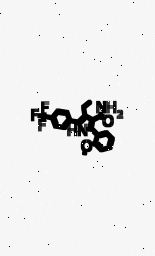 CCc1c(-c2ccc(C(F)(F)F)cc2)[nH]c(-c2ccccc2OC)c1C(N)=O